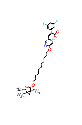 CC(C)(C)CC1(C)CC1(C)C(=O)OCCCCCCCCCCCOc1cc2oc(=O)c(-c3cc(F)cc(F)c3)cc2cn1